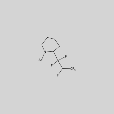 CC(=O)N1CCCCC1C(F)(F)C(F)C(F)(F)F